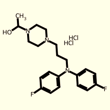 CC(O)N1CCN(CCCN(c2ccc(F)cc2)c2ccc(F)cc2)CC1.Cl.Cl